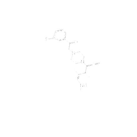 C=C=C(C(=C)/C(C)=C\NC)N1CCN(CC(=O)c2cccc(F)c2)CC1